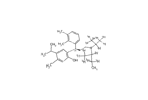 [2H]C([2H])([2H])C([2H])(N(CC[C@@H](c1cc(C(C)C)c(C)cc1O)c1cccc(C)c1C)C([2H])(C([2H])([2H])[2H])C([2H])([2H])C)C([2H])([2H])[2H]